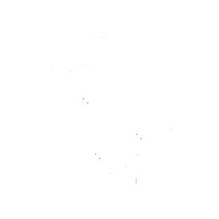 CCOC(=O)c1csc(-c2cnc(C(F)(F)F)c(N3CCOCC3)c2)n1